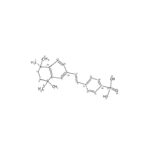 CC1(C)CCC(C)(C)c2cc(C=Cc3ccc(P(=O)(O)O)cc3)ccc21